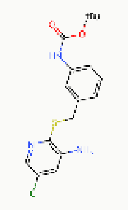 CC(C)(C)OC(=O)Nc1cccc(CSc2ncc(Cl)cc2N)c1